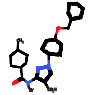 CC1CCC(C(=O)N(c2nn(-c3ccc(OCc4ccccc4)cc3)cc2C(=O)O)C(C)C)CC1